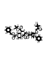 CC(C)(C)OC(=O)CC[C@H](NC(=O)c1cc(OCC(=O)C(C)(C)C)n(-c2ccccc2)n1)C(=O)N1CCN(C(=O)OCc2ccccc2)CC1